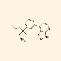 C=CCC(C)(CN)c1cccc(-c2ccnc3[nH]ncc23)c1